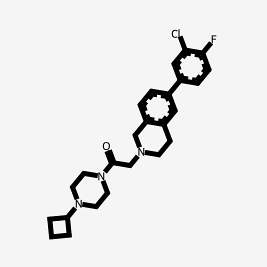 O=C(CN1CCc2cc(-c3ccc(F)c(Cl)c3)ccc2C1)N1CCN(C2CCC2)CC1